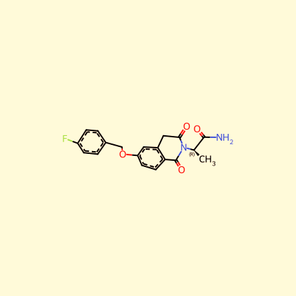 C[C@H](C(N)=O)N1C(=O)Cc2cc(OCc3ccc(F)cc3)ccc2C1=O